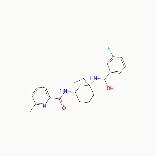 Cc1cccc(C(=O)N[C@]23CCC[C@](NC(O)c4cccc(F)c4)(CC2)C3)n1